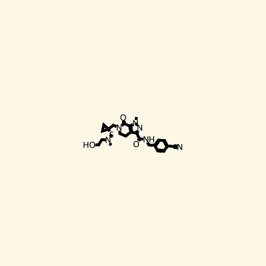 CN(CCO)SC1(CN2CCc3c(C(=O)NCc4ccc(C#N)cc4)nn(C)c3C2=O)CC1